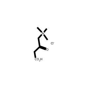 C[N+](C)(C)CC(=O)CC(=O)O.[Cl-]